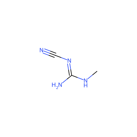 CNC(N)=NC#N